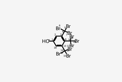 Oc1cc(C(Br)(Br)Br)c(C(Br)(Br)Br)c(C(Br)(Br)Br)c1